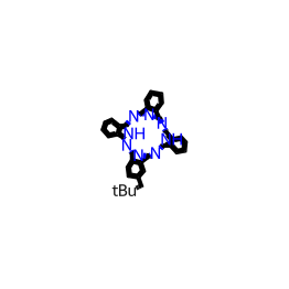 CC(C)(C)Cc1ccc2c(c1)-c1nc-2nc2[nH]c(nc3nc(nc4[nH]c(n1)c1ccccc41)-c1ccccc1-3)c1ccccc21